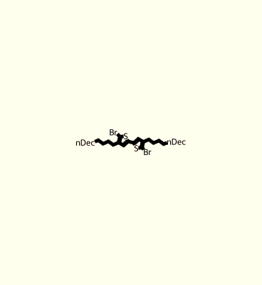 CCCCCCCCCCCCCCc1cc(-c2cc(CCCCCCCCCCCCCC)c(Br)s2)sc1Br